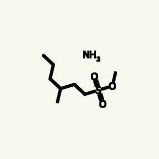 CCCC(C)CCS(=O)(=O)OC.N